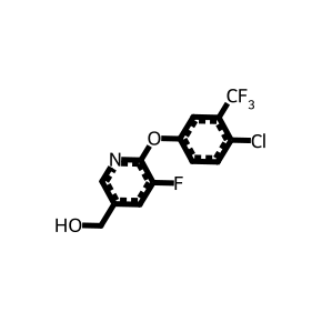 OCc1cnc(Oc2ccc(Cl)c(C(F)(F)F)c2)c(F)c1